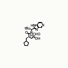 CC(C)(C)[C@H](NC(=O)[C@H](CC1CCCC1)CN(O)C=O)c1nc2cnccc2[nH]1